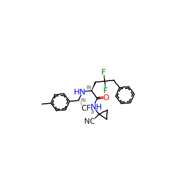 Cc1ccc([C@H](N[C@@H](CC(F)(F)Cc2ccccc2)C(=O)NC2(C#N)CC2)C(F)(F)F)cc1